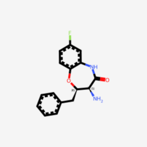 N[C@@H]1C(=O)Nc2cc(F)ccc2O[C@@H]1Cc1ccccc1